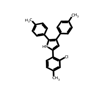 Cc1ccc(-c2cc(-c3ccc(C)cc3Cl)[nH]c2-c2ccc(C)cc2)cc1